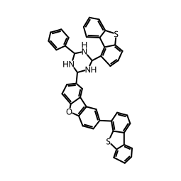 c1ccc(C2NC(c3ccc4oc5ccc(-c6cccc7c6sc6ccccc67)cc5c4c3)NC(c3cccc4sc5ccccc5c34)N2)cc1